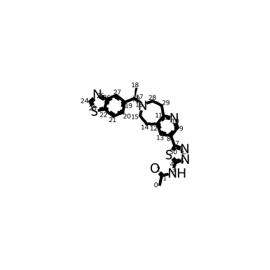 CC(=O)Nc1nnc(-c2cnc3c(c2)CCN([C@H](C)c2ccc4scnc4c2)CC3)s1